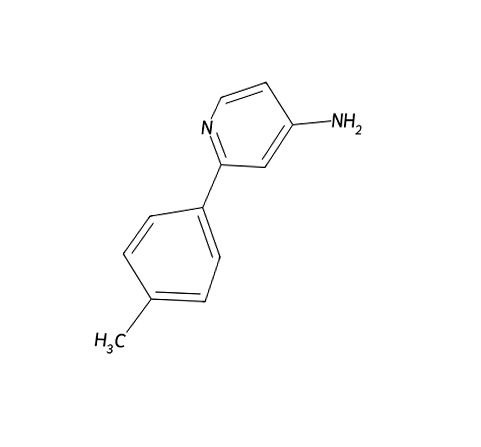 Cc1ccc(-c2cc(N)ccn2)cc1